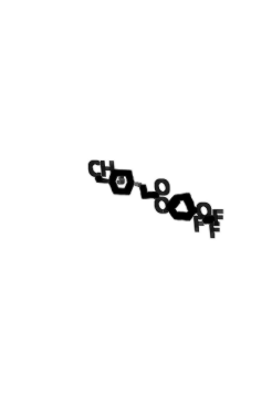 CC[C@H]1CC[C@H](CCC(=O)Oc2ccc(OC(F)(F)F)cc2)CC1